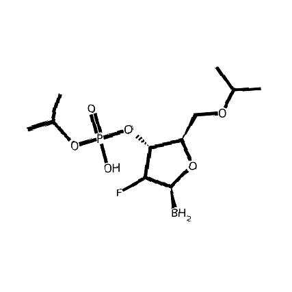 B[C@@H]1O[C@H](COC(C)C)[C@@H](OP(=O)(O)OC(C)C)C1F